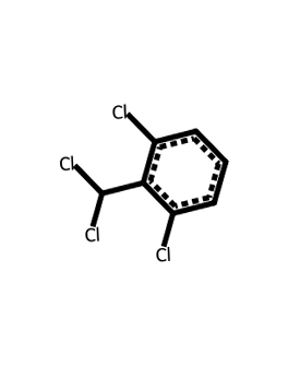 Clc1cccc(Cl)c1C(Cl)Cl